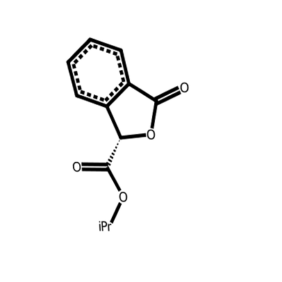 CC(C)OC(=O)[C@H]1OC(=O)c2ccccc21